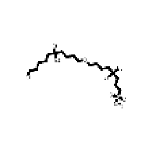 CCC(CC)(CCCCCO)CCCCOCCCCC(CC)(CC)CCCS(N)(=O)=O